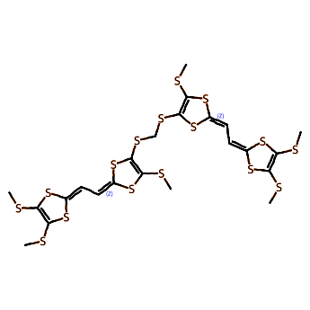 CSC1=C(SC)SC(=C/C=C2/SC(SC)=C(SCSC3=C(SC)S/C(=C/C=C4SC(SC)=C(SC)S4)S3)S2)S1